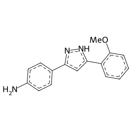 COc1ccccc1-c1cc(-c2ccc(N)cc2)n[nH]1